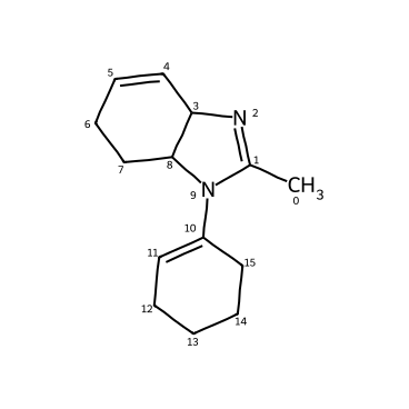 CC1=NC2C=CCCC2N1C1=CCCCC1